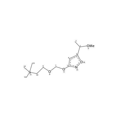 COC(C)c1cc(OCOCC[Si](C)(C)C)no1